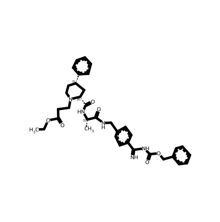 CCOC(=O)CCN1CC[C@H](c2ccccc2)C[C@@H]1C(=O)N[C@@H](C)C(=O)NCc1ccc(C(=N)NC(=O)OCc2ccccc2)cc1